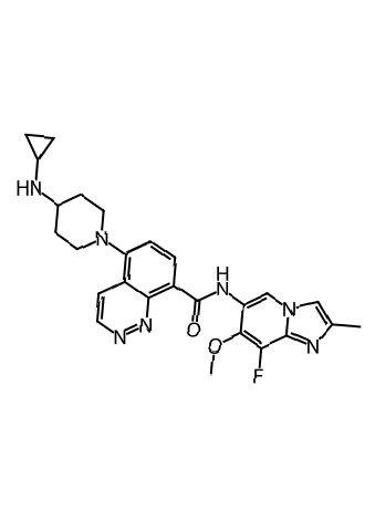 COc1c(NC(=O)c2ccc(N3CCC(NC4CC4)CC3)c3ccnnc23)cn2cc(C)nc2c1F